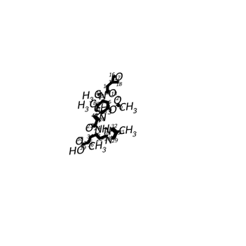 CC(=O)OC(CC(C(C)C)N(C)C(=O)CC1COC1)c1nc(C(=O)NC(Cc2ncc(C)cn2)CC(C)C(=O)O)cs1